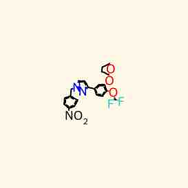 O=[N+]([O-])c1ccc(Cn2ccc(-c3ccc(OC(F)F)c(OC4CCCO4)c3)n2)cc1